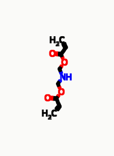 C=CC(=O)OCNCOC(=O)C=C